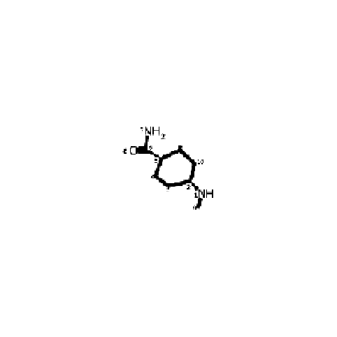 CN[C@H]1CC[C@@H](C(N)=O)CC1